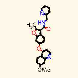 COc1ccc2c(Oc3ccc4c(C(=O)NCc5ccccn5)c(C)oc4c3)ccnc2c1